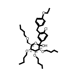 CCCCOC[C@H]1OC(O)(c2ccc(Cl)c(Cc3ccc(OCC)cc3)c2)[C@H](OCCCC)[C@H](OCCCC)[C@@H]1OCCCC